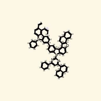 C=Cc1ccc2c(c1/C=C\C)c1ccc(-c3ccc4c(c3)c3c5c(ccc3n4-c3nc(-c4ccccc4)cc(-c4cccc6ccccc46)n3)oc3c4ccccc4ccc35)cc1n2-c1ccccc1